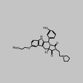 CCC12Cc3c([nH]c4ccc(OCCOC)cc34)C(c3cccc(O)c3)N1C(=O)N(CCN1CCCC1)C2=O